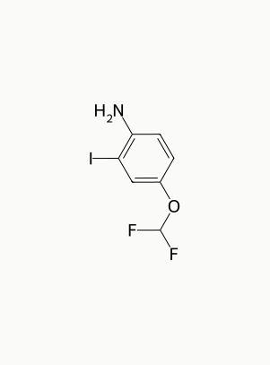 Nc1ccc(OC(F)F)cc1I